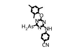 Cc1cc(C)c(Oc2nc([AsH2])nc(Nc3ccc(C#N)cc3)n2)c(C)c1